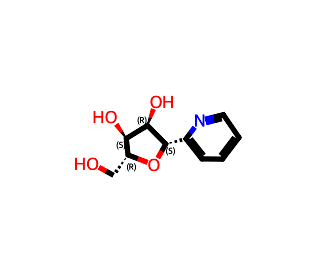 OC[C@H]1O[C@@H](c2ccccn2)[C@H](O)[C@@H]1O